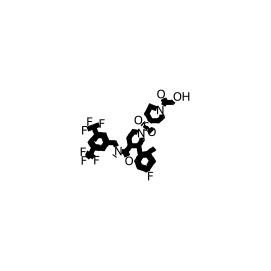 Cc1cc(F)ccc1C1CN(S(=O)(=O)C2CCN(C(=O)CO)CC2)CCC1C(=O)N(C)Cc1cc(C(F)(F)F)cc(C(F)(F)F)c1